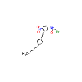 CCCCCCc1ccc(C#Cc2cc(NC(=O)CBr)ccc2[N+](=O)[O-])cc1